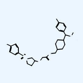 CN(C)C(c1ccc(Cl)cc1)C1CCC(CNC(=O)COC2CCN(S(=O)(=O)c3ccc(Cl)cc3)C2)CC1